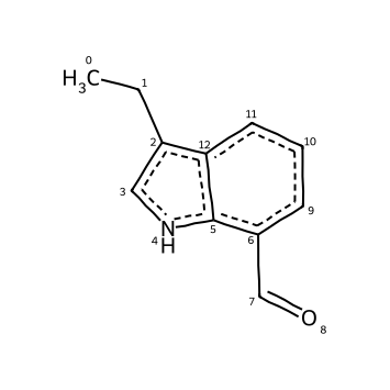 CCc1c[nH]c2c(C=O)cccc12